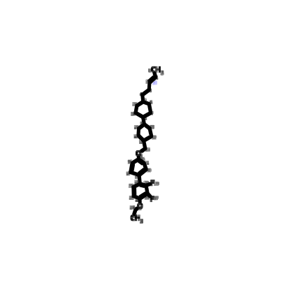 C/C=C/CCC1CCC(C2CCC(COc3ccc(-c4ccc(OCC)c(F)c4F)cc3)CC2)CC1